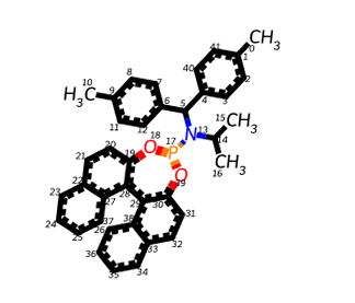 Cc1ccc(C(c2ccc(C)cc2)N(C(C)C)p2oc3ccc4ccccc4c3c3c(ccc4ccccc43)o2)cc1